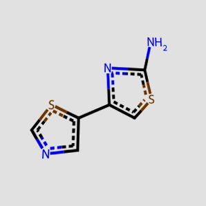 Nc1nc(-c2cncs2)cs1